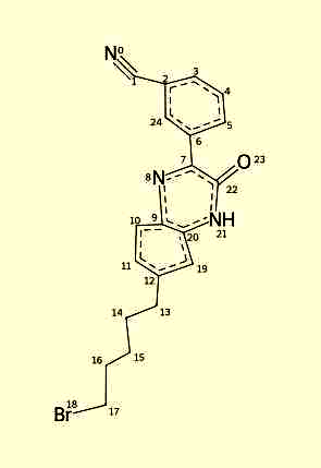 N#Cc1cccc(-c2nc3ccc(CCCCCBr)cc3[nH]c2=O)c1